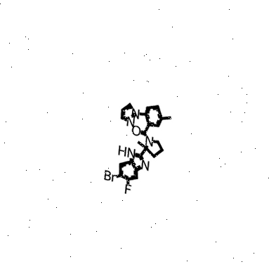 Cc1ccc(-n2cccn2)c(C(=O)N2CCCC2(C)c2nc3cc(F)c(Br)cc3[nH]2)c1